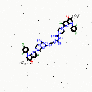 N=C(NCCNC(=N)NC(=N)N1CCN(c2nc3c(cc2F)c(=O)c(C(=O)O)cn3-c2ccc(F)cc2F)CC1)NC(=N)N1CCN(c2nc3c(cc2F)c(=O)c(C(=O)O)cn3-c2ccc(F)cc2F)CC1